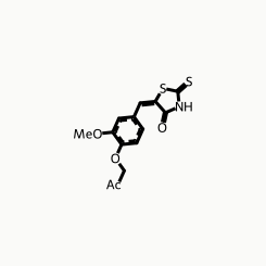 COc1cc(C=C2SC(=S)NC2=O)ccc1OCC(C)=O